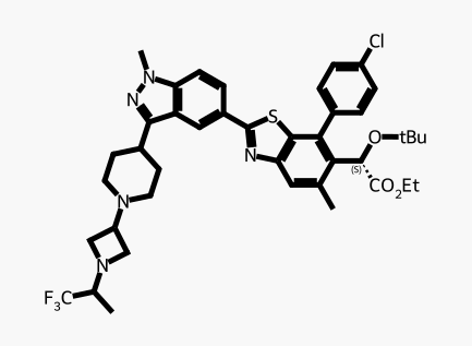 CCOC(=O)[C@@H](OC(C)(C)C)c1c(C)cc2nc(-c3ccc4c(c3)c(C3CCN(C5CN(C(C)C(F)(F)F)C5)CC3)nn4C)sc2c1-c1ccc(Cl)cc1